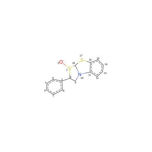 [O-][S+]1C(c2ccccc2)CN2c3ccccc3SC21